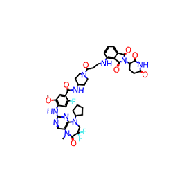 COc1cc(C(=O)NC2CCN(C(=O)CCNc3cccc4c3C(=O)N(C3CCC(=O)NC3=O)C4=O)CC2)c(F)cc1Nc1ncc2c(n1)N(C1CCCC1)CC(F)(F)C(=O)N2C